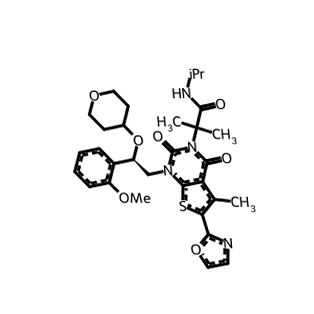 COc1ccccc1[C@H](Cn1c(=O)n(C(C)(C)C(=O)NC(C)C)c(=O)c2c(C)c(-c3ncco3)sc21)OC1CCOCC1